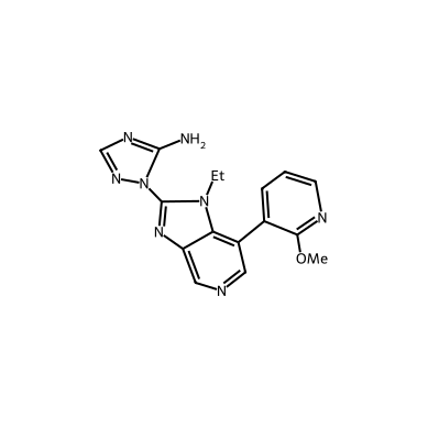 CCn1c(-n2ncnc2N)nc2cncc(-c3cccnc3OC)c21